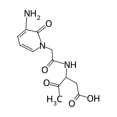 CC(=O)C(CC(=O)O)NC(=O)Cn1cccc(N)c1=O